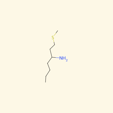 CCCCC(N)CCSC